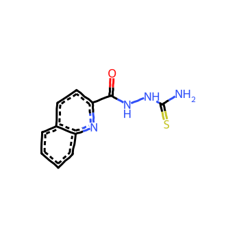 NC(=S)NNC(=O)c1ccc2ccccc2n1